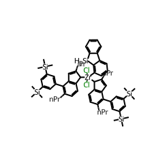 CCCc1ccc2c(c1-c1cc([Si](C)(C)C)cc([Si](C)(C)C)c1)C=C(C(C)C)[CH]2[Zr]([Cl])([Cl])([c]1cccc2c1[SiH2]c1ccccc1-2)[CH]1C(C(C)C)=Cc2c1ccc(CCC)c2-c1cc([Si](C)(C)C)cc([Si](C)(C)C)c1